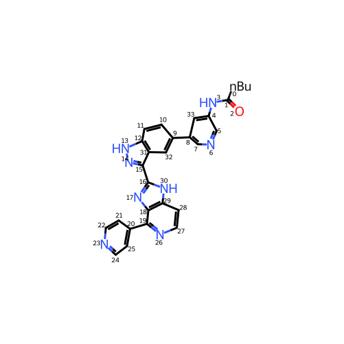 CCCCC(=O)Nc1cncc(-c2ccc3[nH]nc(-c4nc5c(-c6ccncc6)nccc5[nH]4)c3c2)c1